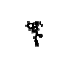 N#CCC(=O)N1CC(N)C2(CCCC2)C1